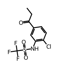 CCC(=O)c1ccc(Cl)c(NS(=O)(=O)C(F)(F)F)c1